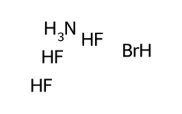 Br.F.F.F.N